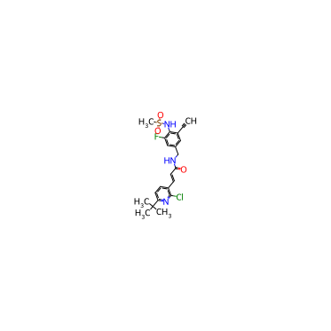 C#Cc1cc(CNC(=O)C=Cc2ccc(C(C)(C)C)nc2Cl)cc(F)c1NS(C)(=O)=O